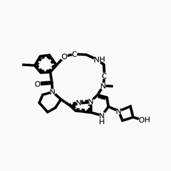 Cc1ccc2c(c1)C(=O)N1CCCCC1c1cc3n(n1)C(=CC(N1CC(O)C1)N3)N(C)CCNCCO2